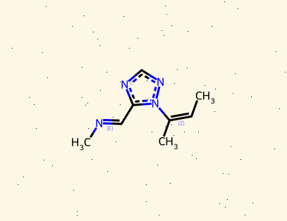 C/C=C(/C)n1ncnc1/C=N/C